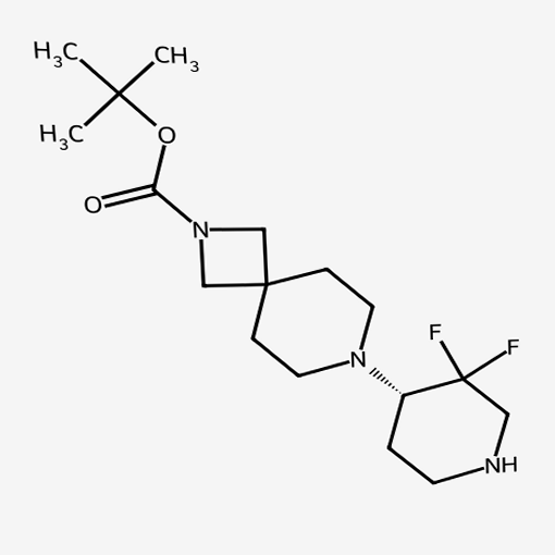 CC(C)(C)OC(=O)N1CC2(CCN([C@H]3CCNCC3(F)F)CC2)C1